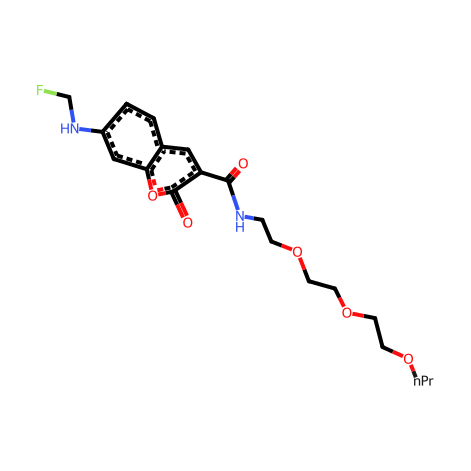 CCCOCCOCCOCCNC(=O)c1cc2ccc(NCF)cc2oc1=O